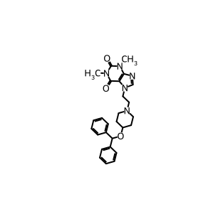 Cn1c(=O)c2c(ncn2CCN2CCC(OC(c3ccccc3)c3ccccc3)CC2)n(C)c1=O